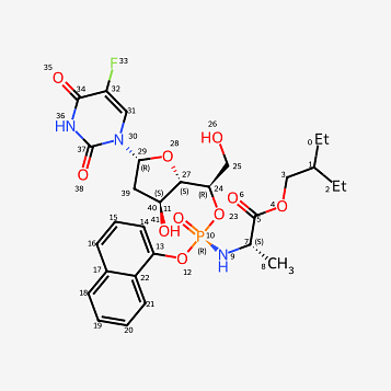 CCC(CC)COC(=O)[C@H](C)N[P@](=O)(Oc1cccc2ccccc12)O[C@H](CO)[C@H]1O[C@@H](n2cc(F)c(=O)[nH]c2=O)C[C@@H]1O